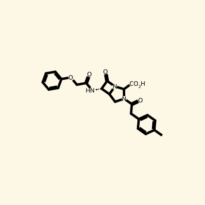 Cc1ccc(CC(=O)N2CC3[C@H](NC(=O)COc4ccccc4)C(=O)N3C2C(=O)O)cc1